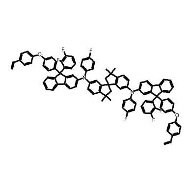 C=Cc1ccc(Oc2ccc(C3(c4cccc(F)c4F)c4ccccc4-c4ccc(N(c5ccc(F)cc5)c5ccc6c(c5)C5(CC6(C)C)CC(C)(C)c6ccc(N(c7ccc(F)cc7)c7ccc8c(c7)C(c7ccc(Oc9ccc(C=C)cc9)cc7)(c7cccc(F)c7F)c7ccccc7-8)cc65)cc43)cc2)cc1